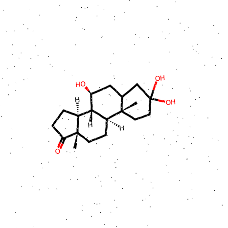 C[C@]12CCC(O)(O)CC1C[C@H](O)[C@@H]1[C@@H]2CC[C@]2(C)C(=O)CC[C@@H]12